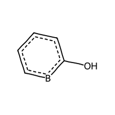 Oc1bcccc1